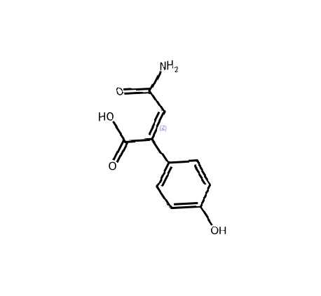 NC(=O)/C=C(\C(=O)O)c1ccc(O)cc1